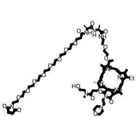 CCC1=C(C)c2cc3[nH]c(cc4nc(c5c6[nH]c(cc1n2)c(C)c6C(=O)N(CCN1CCOCC1)C5=O)[C@@H](CCC(=O)N(C)CCO)[C@@H]4C)c(C)c3C(C)OCCOCCNC(=O)[C@H](C)NC(=O)[C@H](C)NC(=O)CCOCCOCCOCCOCCOCCOCCOCCOCCN1C(=O)C=CC1=O